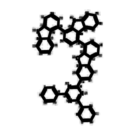 c1ccc(-c2nc(-c3ccccc3)nc(-c3ccc4c(c3)oc3c(-c5ccc(-c6cccc7sc8ccccc8c67)c6sc7ccccc7c56)cccc34)n2)cc1